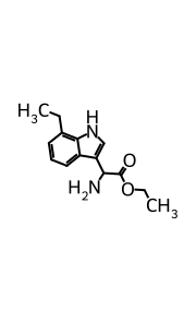 CCOC(=O)C(N)c1c[nH]c2c(CC)cccc12